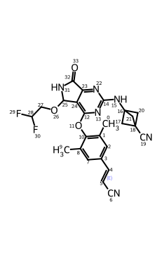 Cc1cc(/C=C/C#N)cc(C)c1Oc1nc(NC23CC(C#N)(C2)C3)nc2c1C(OCC(F)F)NC2=O